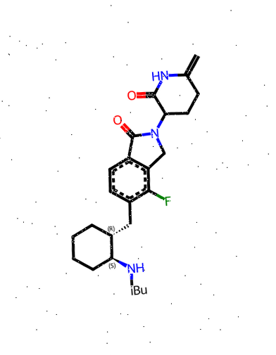 C=C1CCC(N2Cc3c(ccc(C[C@H]4CCCC[C@@H]4NC(C)CC)c3F)C2=O)C(=O)N1